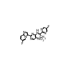 C[C@@H](Nc1nc(-c2cnc3ccc(F)cn23)ncc1[N+](=O)[O-])c1ncc(F)cn1